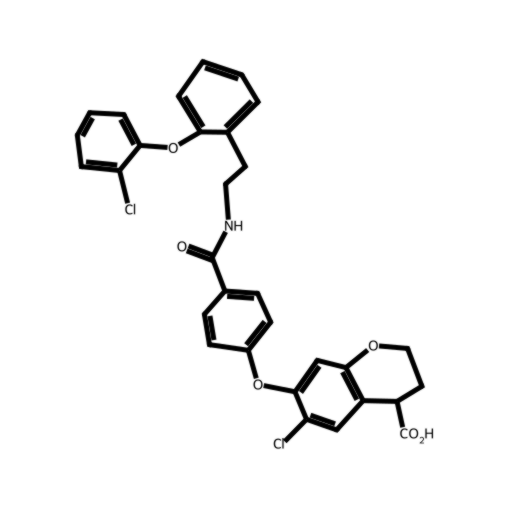 O=C(NCCc1ccccc1Oc1ccccc1Cl)c1ccc(Oc2cc3c(cc2Cl)C(C(=O)O)CCO3)cc1